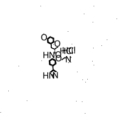 COc1ccc2c(c1)C[C@H](C(=O)Nc1ccc(-c3cn[nH]c3)cc1OCCN(C)C)CO2.Cl.Cl